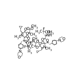 CN[C@@H](CC(C)(C)F)C(=O)O[C@H](Cc1ccc(N2CCOCC2)cc1)C(=O)N(C)[C@@H](CC1CC1)C(=O)O[C@H](C)C(=O)N(C)[C@@H](CC(C)(C)F)C(=O)O[C@H](Cc1ccc(N2CCOCC2)cc1)C(=O)N(C)[C@@H](CC1CC1)C(=O)O[C@H](C)C(=O)OC